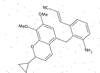 COc1cc(Cc2c(N)cccc2C=CC#N)c2c(c1OC)OC(C1CC1)C=C2